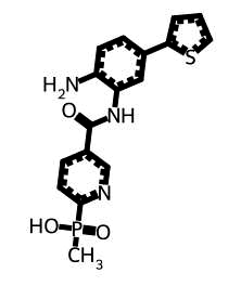 CP(=O)(O)c1ccc(C(=O)Nc2cc(-c3cccs3)ccc2N)cn1